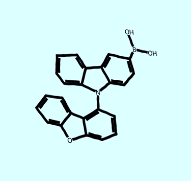 OB(O)c1ccc2c(c1)c1ccccc1n2-c1cccc2oc3ccccc3c12